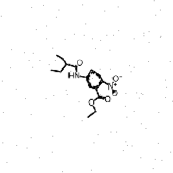 CCOC(=O)c1cc(NC(=O)C(CC)CC)ccc1[N+](=O)[O-]